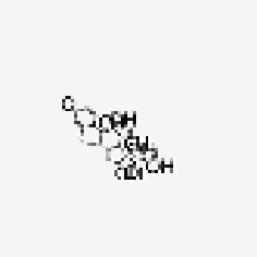 CC12C=CC(=O)C=C1CCC1C2[C@@H](O)CC2(C)C1C[C@@H](O)[C@]2(O)C(=O)CO